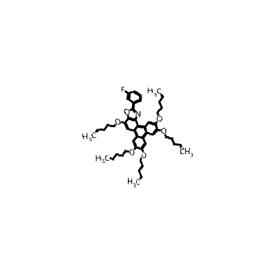 CCCCCOc1cc2c3cc(OCCCCC)c(OCCCCC)cc3c3c(cc(OCCCCC)c4oc(-c5cccc(F)c5)nc43)c2cc1OCCCCC